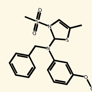 CC1=CN(S(C)(=O)=O)C(N(Cc2ccccc2)c2cccc(OC(F)(F)F)c2)S1